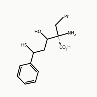 CC(C)C[C@](N)(C(=O)O)C(O)CC(S)c1ccccc1